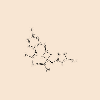 Nc1nc(C[C@]2(C(=O)O)C[C@H](Oc3cc(F)ccc3OC(F)F)C2)cs1